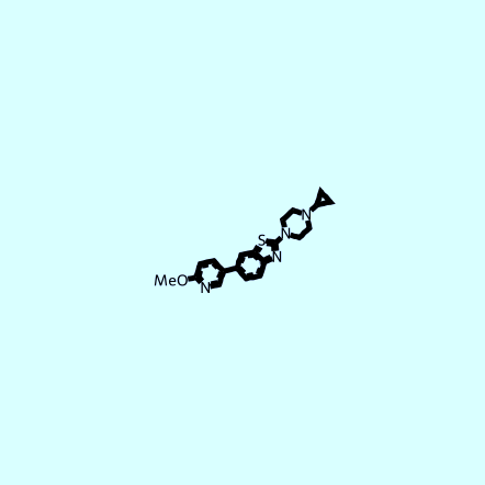 COc1ccc(-c2ccc3nc(N4CCN(C5CC5)CC4)sc3c2)cn1